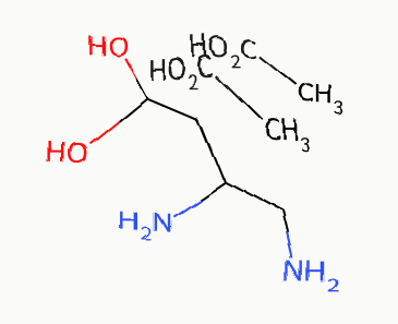 CC(=O)O.CC(=O)O.NCC(N)CC(O)O